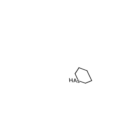 C1CC[AsH]CC1